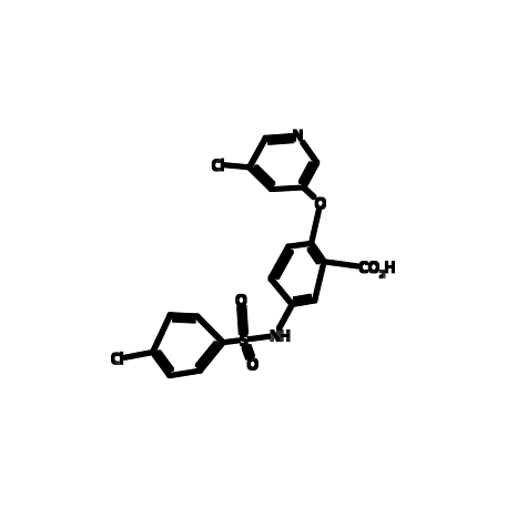 O=C(O)c1cc(NS(=O)(=O)c2ccc(Cl)cc2)ccc1Oc1cncc(Cl)c1